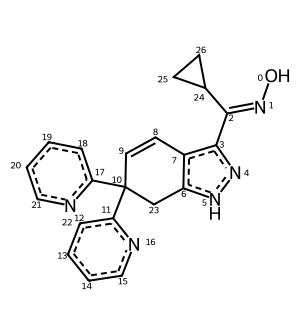 O/N=C(/c1n[nH]c2c1C=CC(c1ccccn1)(c1ccccn1)C2)C1CC1